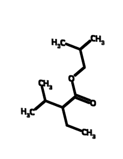 CCC(C(=O)OCC(C)C)C(C)C